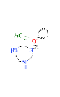 Cl.Cl.[CH3][Ti]([O]c1ccccc1)[N]1CCNCCNCC1